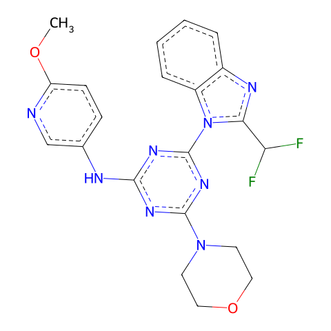 COc1ccc(Nc2nc(N3CCOCC3)nc(-n3c(C(F)F)nc4ccccc43)n2)cn1